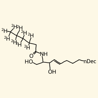 [2H]C([2H])([2H])C([2H])([2H])C([2H])([2H])C([2H])([2H])CC(=O)NC(CO)C(O)/C=C/CCCCCCCCCCCCC